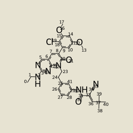 CCNc1ncc2cc(-c3cc(OC)cc(OC)c3Cl)c(=O)n(CCc3cccc(NC(=O)/C(C#N)=C/C(C)(C)C)c3)c2n1